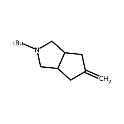 C=C1CC2CN(C(C)(C)C)CC2C1